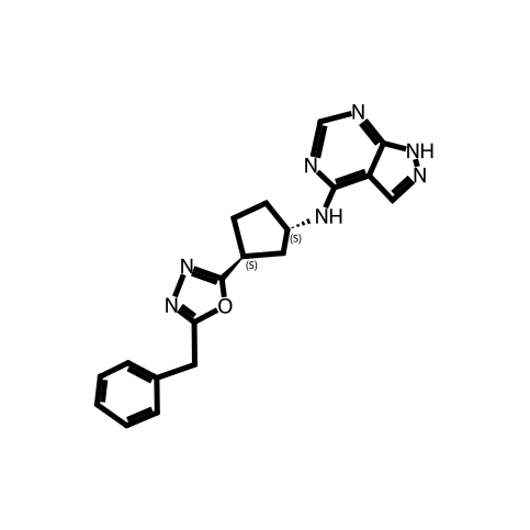 c1ccc(Cc2nnc([C@H]3CC[C@H](Nc4ncnc5[nH]ncc45)C3)o2)cc1